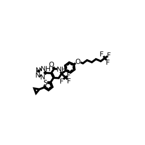 O=C1NC(c2ccc(OCCCCCC(F)(F)F)cc2)(C(F)(F)F)CC(c2ccc(C3CC3)s2)=C1c1nnn[nH]1